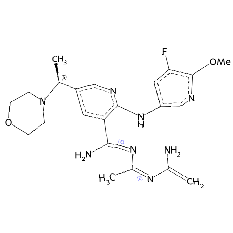 C=C(N)/N=C(C)\N=C(/N)c1cc([C@H](C)N2CCOCC2)cnc1Nc1cnc(OC)c(F)c1